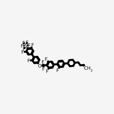 C=CCCC1CCC(c2ccc(-c3cc(F)c(C(F)(F)Oc4ccc(-c5cc(F)c(S(F)(F)(F)(F)F)c(F)c5)c(F)c4)c(F)c3)c(F)c2)CC1